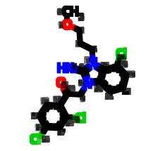 COCCCn1c(=N)n(CC(=O)c2ccc(Cl)cc2Cl)c2cccc(Cl)c21